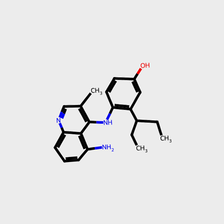 CCC(CC)c1cc(O)ccc1Nc1c(C)cnc2cccc(N)c12